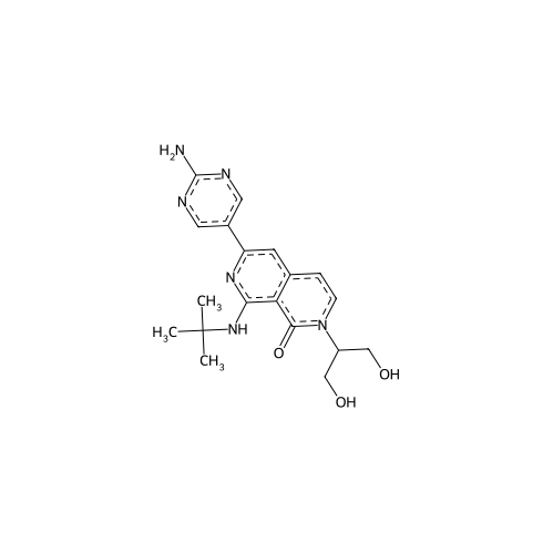 CC(C)(C)Nc1nc(-c2cnc(N)nc2)cc2ccn(C(CO)CO)c(=O)c12